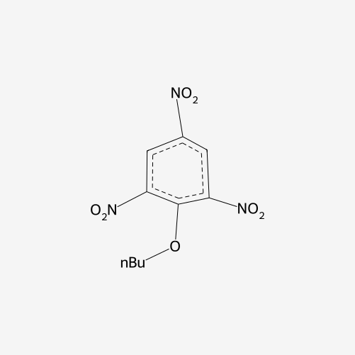 CCCCOc1c([N+](=O)[O-])cc([N+](=O)[O-])cc1[N+](=O)[O-]